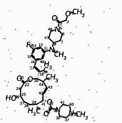 COCC(=O)N1CCC(N(C)c2cc(F)cc(/C=C(\C)[C@H]3OC(=O)C[C@@H](O)CC[C@@H](C)[C@@H](OC(=O)N4CCN(C)CC4)/C=C/[C@@H]3C)c2)CC1